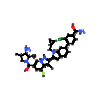 CCC1[C@H](N)C(C)CN1C(=O)c1cc(F)c2c(C)c(-c3cc4ccc(-c5ccc(C(N)=O)cc5Cl)cc4n3CC3CC3)nn2c1